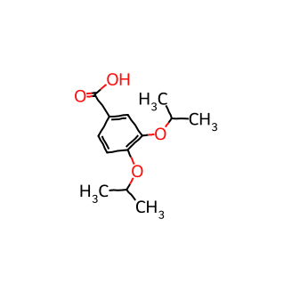 CC(C)Oc1ccc(C(=O)O)cc1OC(C)C